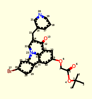 CC(C)(C)OC(=O)COc1cc2c(=O)c(Cc3cccnc3)cn3c4cc(Br)ccc4c(c1)c23